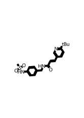 CC(C)(C)c1ccc(C=CC(=O)NCc2ccc(NS(C)(=O)=O)cc2)cn1